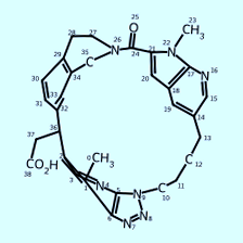 Cc1c2cnc3c1nnn3CCCCc1cnc3c(c1)cc(n3C)C(=O)N1CCc3ccc(cc3C1)C2CC(=O)O